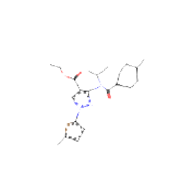 CCOC(=O)c1cn(-c2ccc(C)s2)nc1N(C(=O)C1CCC(C)CC1)C(C)C